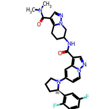 CN(C)C(=O)c1cnn2c1CCC(NC(=O)c1cnn3ccc(N4CCC[C@@H]4c4cc(F)ccc4F)cc13)C2